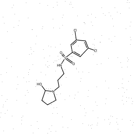 O=S(=O)(NCCCN1CCCC1O)c1cc(Cl)cc(Cl)c1